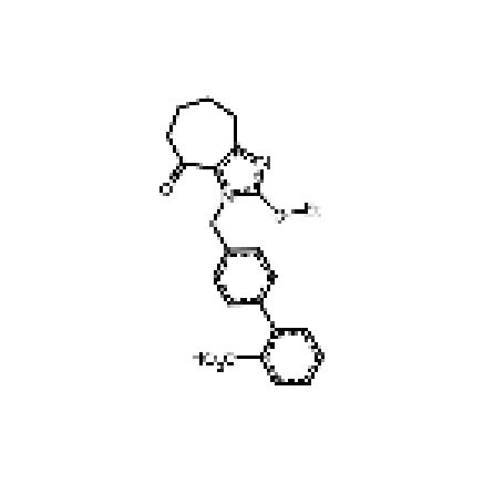 CCOc1nc2c(n1Cc1ccc(-c3ccccc3C(=O)O)cc1)C(=O)CCCC2